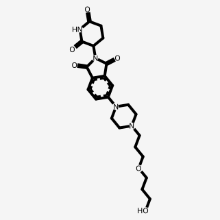 O=C1CCC(N2C(=O)c3ccc(N4CCN(CCCOCCCO)CC4)cc3C2=O)C(=O)N1